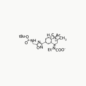 CCN(C(=O)[O-])[C@@H]1C[C@H](C)[N+](C)(C(C)=O)c2ccc(-c3noc(CNC(=O)OC(C)(C)C)n3)cc21